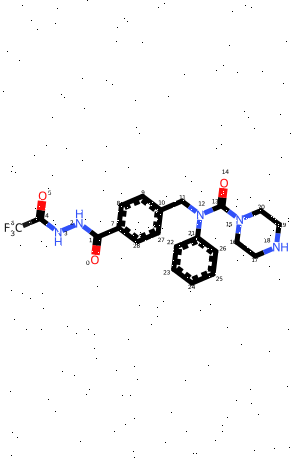 O=C(NNC(=O)C(F)(F)F)c1ccc(CN(C(=O)N2CCNCC2)c2ccccc2)cc1